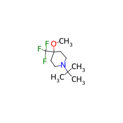 COC1(C(F)(F)F)CCN(C(C)(C)C)CC1